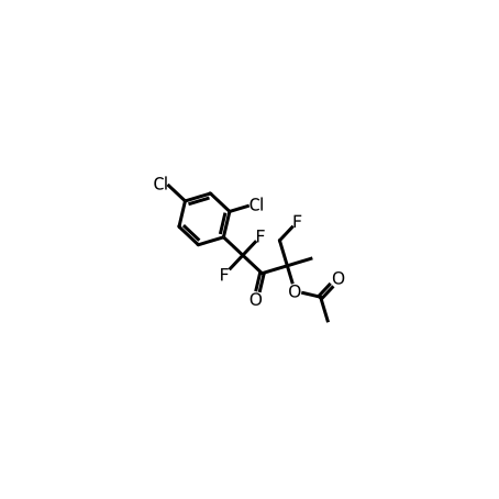 CC(=O)OC(C)(CF)C(=O)C(F)(F)c1ccc(Cl)cc1Cl